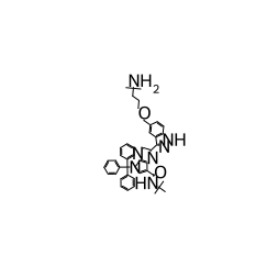 CC(C)(N)CCCOCc1ccc2[nH]nc(-c3cnc4c(n3)c(C(=O)NC(C)(C)C)cn4C(c3ccccc3)(c3ccccc3)c3ccccc3)c2c1